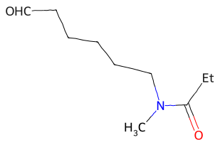 CCC(=O)N(C)CCCCCC=O